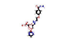 NC(=O)c1ccc(OCCNCC(COc2ncccn2)OC(=O)C(=O)O)cc1